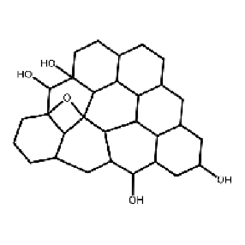 OC1CC2CC3CCC4CCC5(O)C(O)C67CCCC8CC9C(O)C(C1)C2C1C3C4C5C(O6)(C91)C87